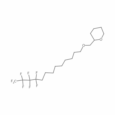 FC(F)(F)C(F)(F)C(F)(F)C(F)(F)CCCCCCCCCOCC1CCCCO1